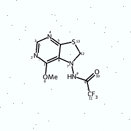 COc1ncnc2c1N(NC(=O)C(F)(F)F)CS2